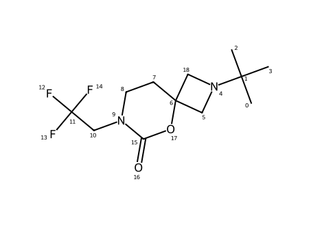 CC(C)(C)N1CC2(CCN(CC(F)(F)F)C(=O)O2)C1